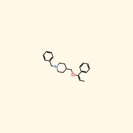 CC=C(OCC1CCN(Cc2ccccc2)CC1)c1ccccc1